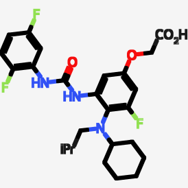 CC(C)CN(c1c(F)cc(OCC(=O)O)cc1NC(=O)Nc1cc(F)ccc1F)C1CCCCC1